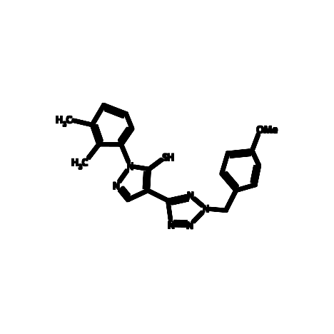 COc1ccc(Cn2nnc(-c3cnn(-c4cccc(C)c4C)c3S)n2)cc1